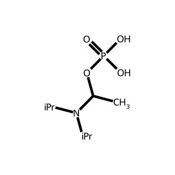 CC(C)N(C(C)C)C(C)OP(=O)(O)O